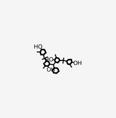 Cc1cc(C(C)(C)c2cc(C)c(O)c(C(c3ccccc3)c3cc(C(C)(C)c4ccc(O)c(C)c4)cc(C)c3O)c2)ccc1O